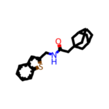 O=C(CC12CC3CC(C1)C(C3)C2)NCc1cc2ccccc2s1